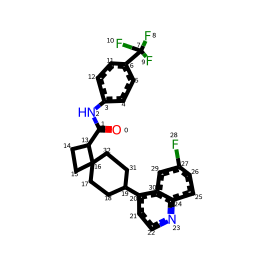 O=C(Nc1ccc(C(F)(F)F)cc1)C1CCC12CCC(c1ccnc3ccc(F)cc13)CC2